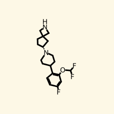 Fc1ccc(C2CCN([C@@H]3CCC4(CNC4)C3)CC2)c(OC(F)F)c1